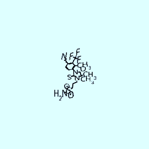 Cc1c(N2C(=O)C(C)(C)N(CCCS(N)(=O)=O)C2=S)ccc(C#N)c1C(F)(F)F